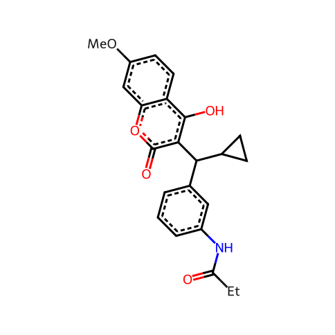 [CH2]CC(=O)Nc1cccc(C(c2c(O)c3ccc(OC)cc3oc2=O)C2CC2)c1